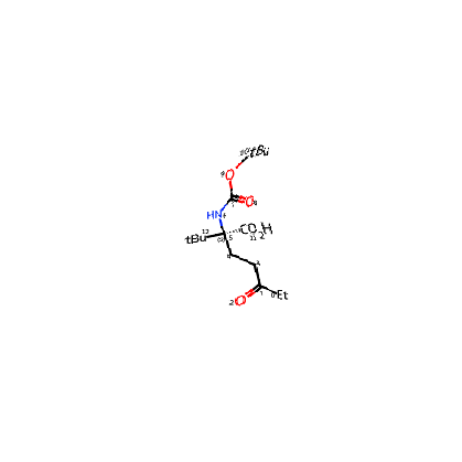 CCC(=O)CC[C@@](NC(=O)OC(C)(C)C)(C(=O)O)C(C)(C)C